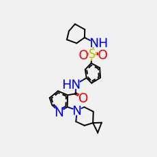 O=C(Nc1cccc(S(=O)(=O)NC2CCCCC2)c1)c1cccnc1N1CCC2(CC1)CC2